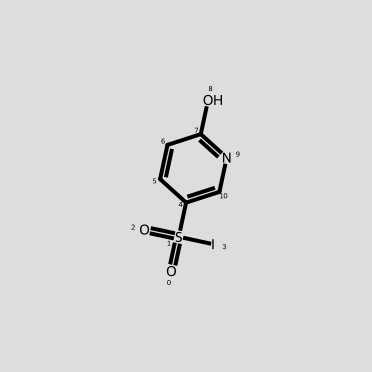 O=S(=O)(I)c1ccc(O)nc1